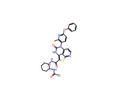 CCC(=O)N[C@H]1CCCC[C@H]1NC(=O)c1sc2nccc3c2c1NC(=O)N3c1ccc(Oc2ccccc2)nc1C